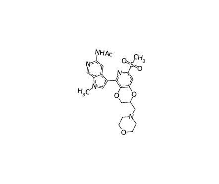 CC(=O)Nc1cc2c(-c3nc(S(C)(=O)=O)cc4c3OCC(CN3CCOCC3)O4)cn(C)c2cn1